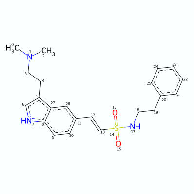 CN(C)CCc1c[nH]c2ccc(C=CS(=O)(=O)NCCc3ccccc3)cc12